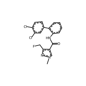 Cn1cc(C(=O)Nc2ccccc2-c2ccc(Cl)c(Cl)c2)c(CF)n1